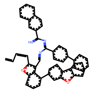 C=C/C=C\c1oc2cccc(-c3ccc4c(c3)oc3ccccc34)c2c1/C=N/C(=N\C(=N)c1ccc2ccccc2c1)c1ccc(-c2ccccc2)cc1